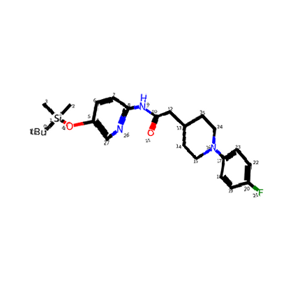 CC(C)(C)[Si](C)(C)Oc1ccc(NC(=O)CC2CCN(c3ccc(F)cc3)CC2)nc1